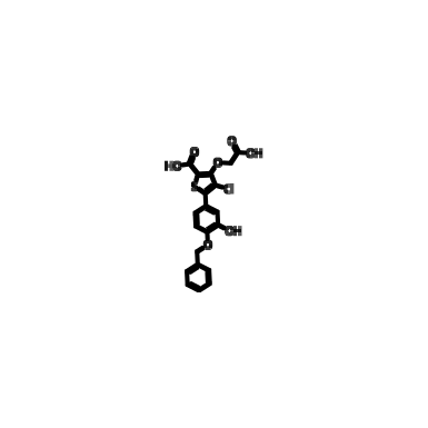 O=C(O)COc1c(C(=O)O)sc(-c2ccc(OCc3ccccc3)c(O)c2)c1Cl